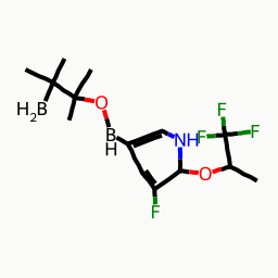 BC(C)(C)C(C)(C)OBC1=CNC(OC(C)C(F)(F)F)C(F)=C1